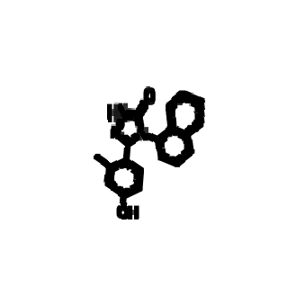 Cc1cc(O)ccc1-c1n[nH]c(=O)n1-c1cccc2ccccc12